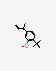 C=C[C](C)c1ccc(C(C)(C)C)c(OC)c1